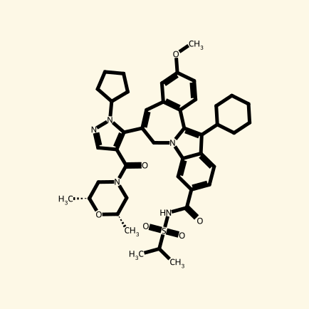 COc1ccc2c(c1)C=C(c1c(C(=O)N3C[C@@H](C)O[C@@H](C)C3)cnn1C1CCCC1)Cn1c-2c(C2CCCCC2)c2ccc(C(=O)NS(=O)(=O)C(C)C)cc21